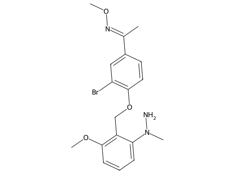 CON=C(C)c1ccc(OCc2c(OC)cccc2N(C)N)c(Br)c1